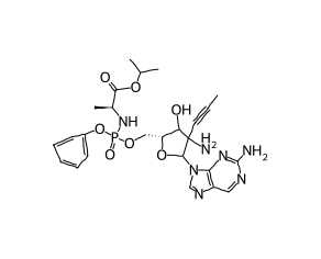 CC#CC1(N)C(O)[C@@H](COP(=O)(N[C@@H](C)C(=O)OC(C)C)Oc2ccccc2)OC1n1cnc2cnc(N)nc21